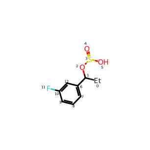 CCC(OS(=O)O)c1cccc(F)c1